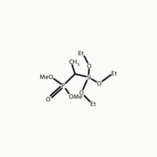 CCO[Si](OCC)(OCC)C(C)P(=O)(OC)OC